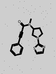 CN(C(=O)C#Cc1ccccc1)C1CCN(c2nccs2)C1